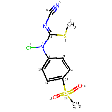 CSC(=NC#N)N(Cl)c1ccc(S(C)(=O)=O)cc1